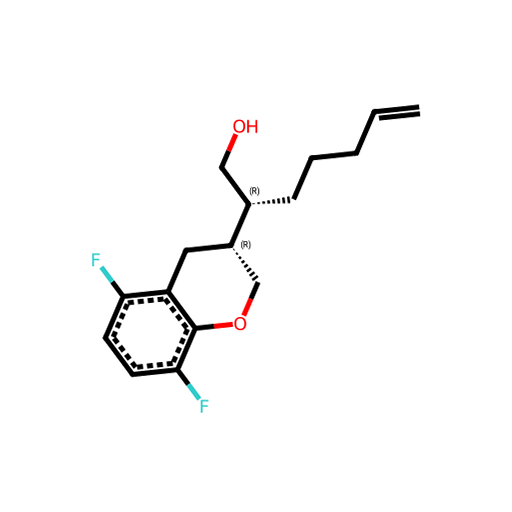 C=CCCC[C@@H](CO)[C@@H]1COc2c(F)ccc(F)c2C1